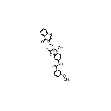 COc1cccc(C(=O)Nc2ccc([C@@H](O)[C@H](CCn3nnc4ccccc4c3=O)C(=O)O)cc2)c1